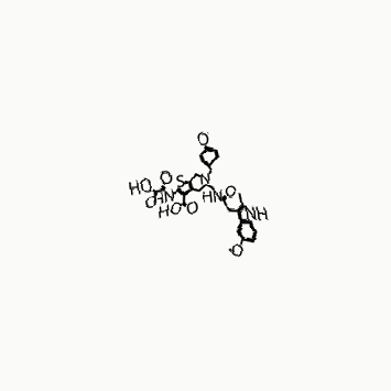 COc1ccc(CN2Cc3sc(NC(=O)C(=O)O)c(C(=O)O)c3CC2CNC(=O)Cc2c(C)[nH]c3ccc(OC)cc23)cc1